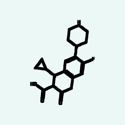 O=C(O)C1C(=O)Cc2cc(F)c(N3CCNCC3)cc2N1C1CC1